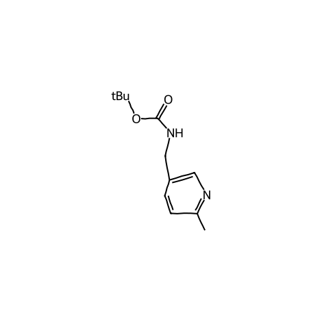 Cc1ccc(CNC(=O)OC(C)(C)C)cn1